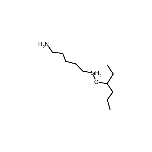 CCCC(CC)O[SiH2]CCCCCN